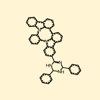 c1ccc(C2N=C(c3ccc4c(c3)c3cccc5c6cccc7c8ccccc8n(c8ccccc8n4c35)c76)NC(c3ccccc3)N2)cc1